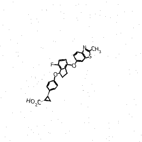 Cc1nc2ccc(Oc3ccc(F)c4c3CC[C@H]4Oc3ccc([C@H]4C[C@@H]4C(=O)O)cc3)cc2s1